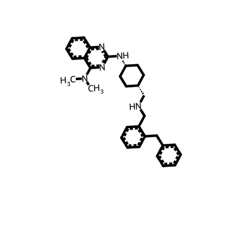 CN(C)c1nc(N[C@H]2CC[C@@H](CNCc3ccccc3Cc3ccccc3)CC2)nc2ccccc12